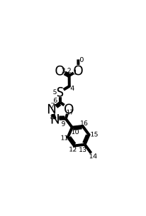 COC(=O)CSc1nnc(-c2ccc(C)cc2)o1